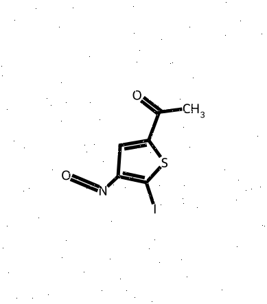 CC(=O)c1cc(N=O)c(I)s1